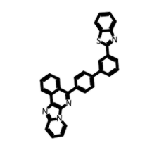 c1cc(-c2ccc(-c3nc4c(nc5ccccn54)c4ccccc34)cc2)cc(-c2nc3ccccc3s2)c1